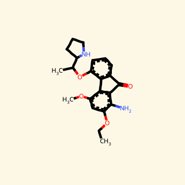 CCOc1cc(OC)c2c(c1N)C(=O)c1cccc(OC(C)C3CCCN3)c1-2